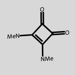 CNc1c(NC)c(=O)c1=O